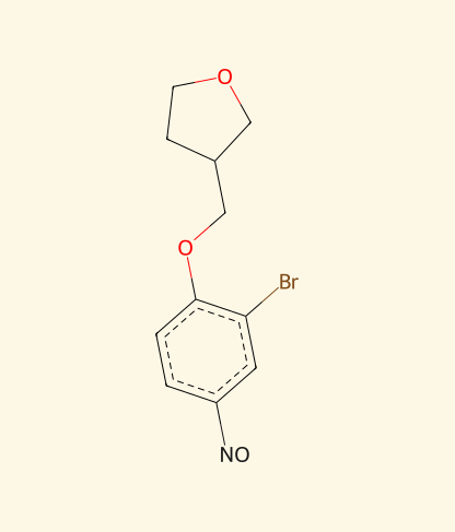 O=Nc1ccc(OCC2CCOC2)c(Br)c1